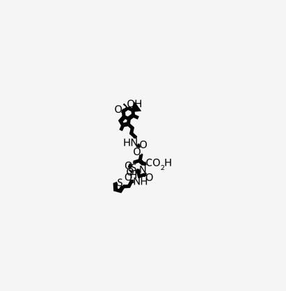 CC1=C(CCCNC(=O)OCC2=C(C(=O)O)N3C(=O)[C@H](NC(=O)Cc4cccs4)[C@@H]3S(=O)(=O)C2)C2=C(C)C3(CC3)[C@@](C)(O)C(=O)C2=C1